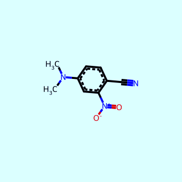 CN(C)c1ccc(C#N)c([N+](=O)[O-])c1